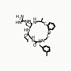 Cc1cccc(C[C@H]2NCCOc3ccccc3CC(C)CNC(=O)[C@H](CNC(=N)N)NC(=O)[C@@H](C(C)C)NC2=O)c1